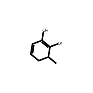 CC1CC=CC(C#N)=C1Br